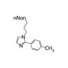 CCCCCCCCCCCCn1ccnc1-c1ccc(C)cc1